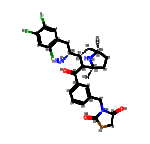 N[C@H](Cc1cc(F)c(F)cc1F)[C@@H]1C[C@H]2CC[C@H](N2)C1C(=O)c1cccc(CN2C(=O)CSC2=O)c1